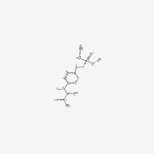 CCOP(=O)(COc1ccc(C(C)N(O)C(N)=O)cc1)OCC